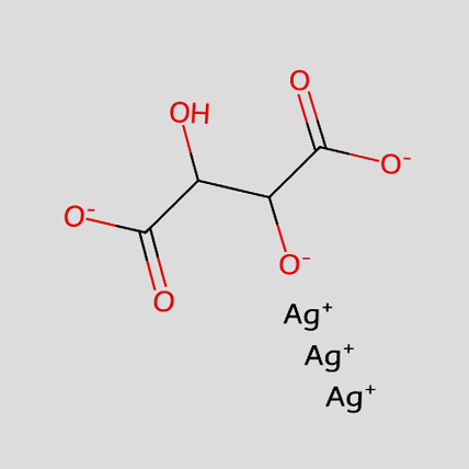 O=C([O-])C([O-])C(O)C(=O)[O-].[Ag+].[Ag+].[Ag+]